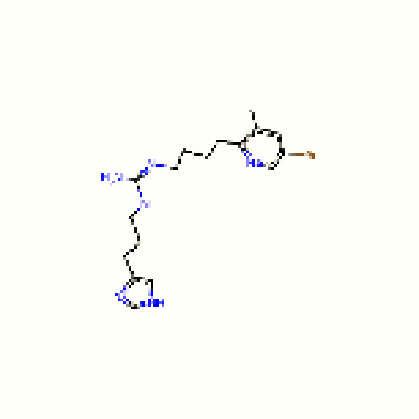 Cc1cc(Br)cnc1CCCCN=C(N)NCCCc1c[nH]cn1